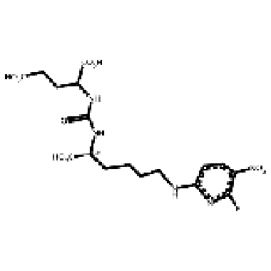 O=C(O)CCC(NC(=O)N[C@@H](CCCCNc1ccc([N+](=O)[O-])c(F)n1)C(=O)O)C(=O)O